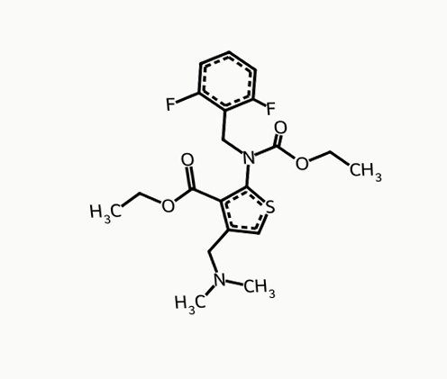 CCOC(=O)c1c(CN(C)C)csc1N(Cc1c(F)cccc1F)C(=O)OCC